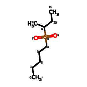 [CH2]CCCCS(=O)(=O)C(C)CC